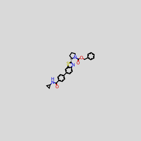 O=C(NC1CC1)c1ccc(-c2ccc3nc([C@@H]4CCCN4C(=O)OCc4ccccc4)sc3c2)cc1